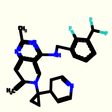 C=C1C=c2nc(C)nc(NCc3cccc(C(F)F)c3F)c2=CN1C1(C2C=CN=CC2)CC1